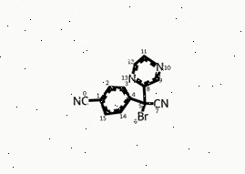 N#Cc1ccc(C(Br)(C#N)c2cnccn2)cc1